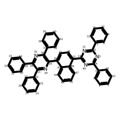 c1ccc(-c2nc(-c3ccccc3)nc(-c3ccc(-c4nc(-c5ccccc5)c(-c5ccccc5)nc4-c4ccccc4)c4ccccc34)n2)cc1